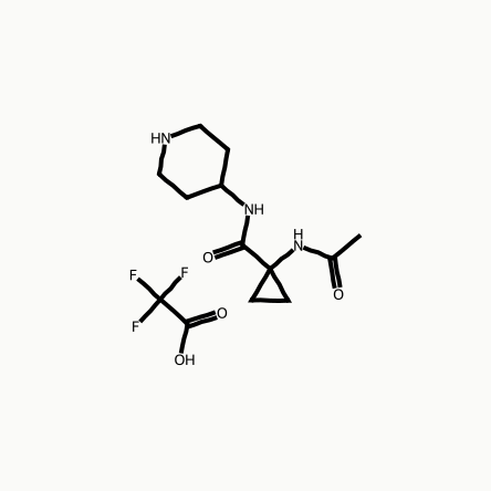 CC(=O)NC1(C(=O)NC2CCNCC2)CC1.O=C(O)C(F)(F)F